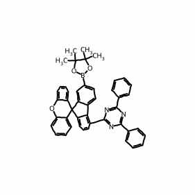 CC1(C)OB(c2ccc3c(c2)C2(c4ccccc4Oc4ccccc42)c2cccc(-c4nc(-c5ccccc5)nc(-c5ccccc5)n4)c2-3)OC1(C)C